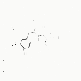 O=C(O)[C@H](CS)NN[C@@H](Cc1ccc(O)cc1)C(=O)O